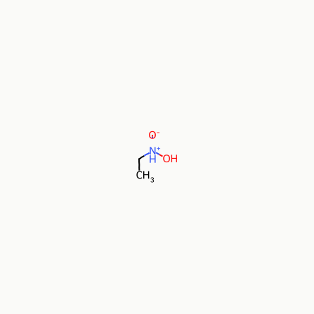 CC[NH+]([O-])O